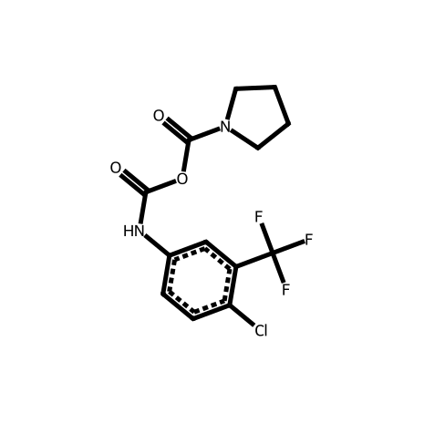 O=C(Nc1ccc(Cl)c(C(F)(F)F)c1)OC(=O)N1CCCC1